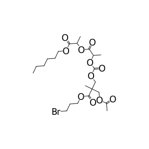 CCCCCCOC(=O)C(C)OC(=O)C(C)OC(=O)OCC(C)(COC(C)=O)C(=O)OCCCBr